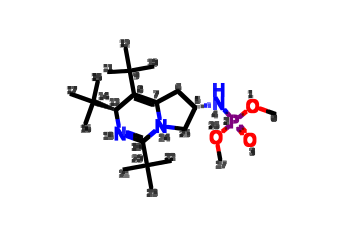 COP(=O)(N[C@H]1CC2=C(C(C)(C)C)[C@H](C(C)(C)C)N=C(C(C)(C)C)N2C1)OC